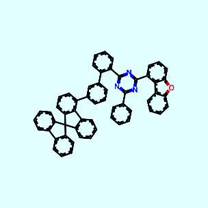 c1ccc(-c2nc(-c3ccccc3-c3cccc(-c4cccc5c4-c4ccccc4C54c5ccccc5-c5ccccc54)c3)nc(-c3cccc4oc5ccccc5c34)n2)cc1